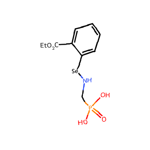 CCOC(=O)c1ccccc1[Se]NCP(=O)(O)O